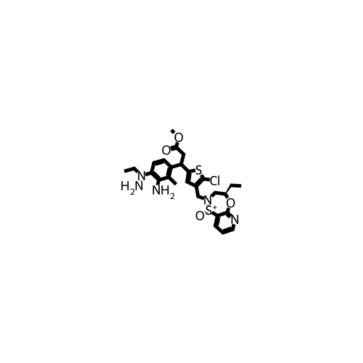 CC[C@@H]1CN(Cc2cc(C(CC(=O)OC)c3ccc(N(N)CC)c(N)c3C)sc2Cl)[S+]([O-])c2cccnc2O1